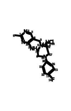 Cc1ncc(CN2CCN(c3ccc(F)cc3)CC2)c(N)n1.Cl.Cl